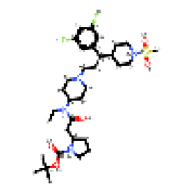 CCN(C(=O)CC1CCCN1C(=O)OC(C)(C)C)C1CCN(CC[C@@H](c2cc(F)cc(F)c2)C2CCN(S(C)(=O)=O)CC2)CC1